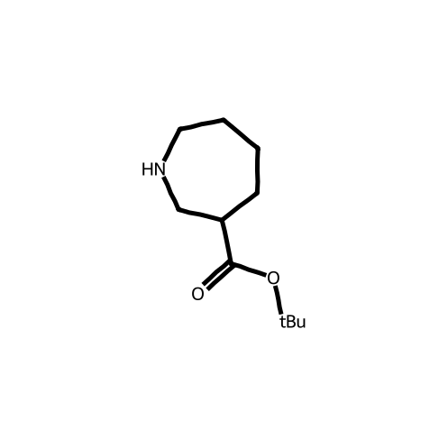 CC(C)(C)OC(=O)C1CCCCNC1